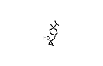 CC(C)C1(C)CCN(CC2(O)CC2)CC1